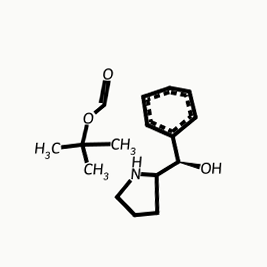 CC(C)(C)OC=O.O[C@H](c1ccccc1)C1CCCN1